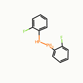 Fc1ccccc1P[PH3]c1ccccc1F